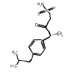 CC(C)Cc1ccc([C@@H](C)C(=O)CS(N)(=O)=O)cc1